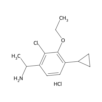 CCOc1c(C2CC2)ccc(C(C)N)c1Cl.Cl